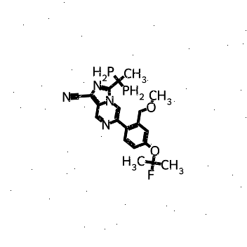 COCc1cc(OC(C)(C)F)ccc1-c1cn2c(C(C)(P)P)nc(C#N)c2cn1